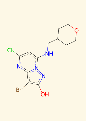 Oc1nn2c(NCC3CCOCC3)cc(Cl)nc2c1Br